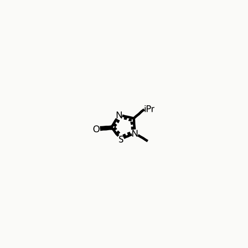 CC(C)c1nc(=O)sn1C